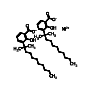 CCCCCCCCCC(C)(C)c1cccc(C(=O)[O-])c1O.CCCCCCCCCC(C)(C)c1cccc(C(=O)[O-])c1O.[Ni+2]